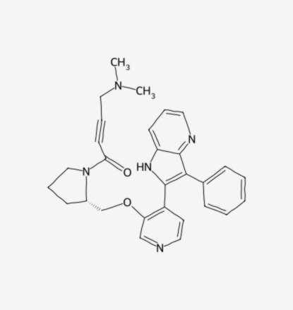 CN(C)CC#CC(=O)N1CCC[C@H]1COc1cnccc1-c1[nH]c2cccnc2c1-c1ccccc1